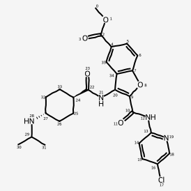 COC(=O)c1ccc2oc(C(=O)Nc3ccc(Cl)cn3)c(NC(=O)[C@H]3CC[C@H](NC(C)C)CC3)c2c1